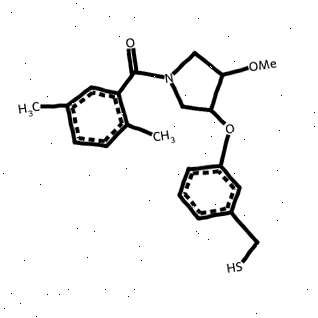 COC1CN(C(=O)c2cc(C)ccc2C)CC1Oc1cccc(CS)c1